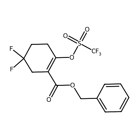 O=C(OCc1ccccc1)C1=C(OS(=O)(=O)C(F)(F)F)CCC(F)(F)C1